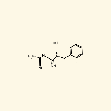 Cl.N=C(N)NC(=N)NCc1ccccc1I